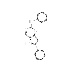 c1ccc(Nc2ncc3[nH]c(-c4ccccc4)cc3n2)cc1